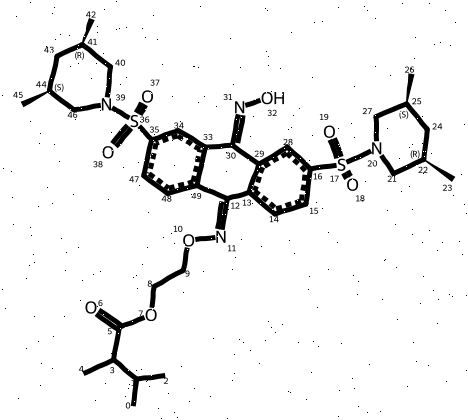 CC(C)C(C)C(=O)OCCON=C1c2ccc(S(=O)(=O)N3C[C@H](C)C[C@H](C)C3)cc2C(=NO)c2cc(S(=O)(=O)N3C[C@H](C)C[C@H](C)C3)ccc21